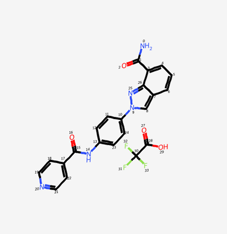 NC(=O)c1cccc2cn(-c3ccc(NC(=O)c4ccncc4)cc3)nc12.O=C(O)C(F)(F)F